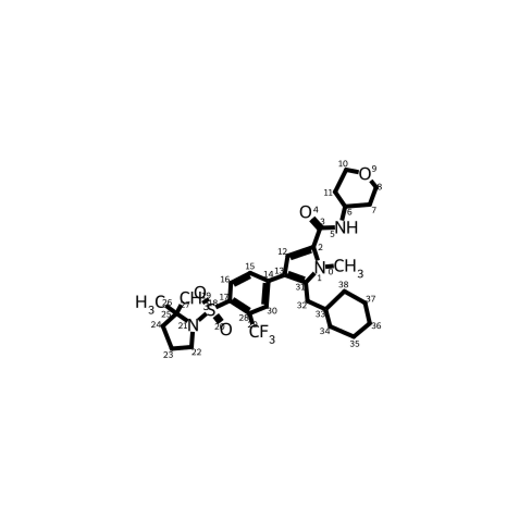 Cn1c(C(=O)NC2CCOCC2)cc(-c2ccc(S(=O)(=O)N3CCCC3(C)C)c(C(F)(F)F)c2)c1CC1CCCCC1